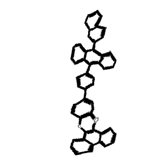 c1ccc2cc(-c3c4ccccc4c(-c4ccc(-c5ccc6c(c5)Oc5c(c7ccccc7c7ccccc57)O6)cc4)c4ccccc34)ccc2c1